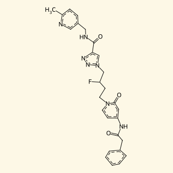 Cc1ccc(CNC(=O)c2cn(CC(F)CCn3ccc(NC(=O)Cc4ccccc4)cc3=O)nn2)cn1